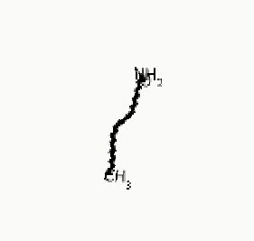 CCCCCCCCCCCCC#CC#CCCCCCCCCC(N)=O